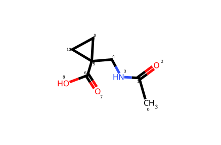 CC(=O)NCC1(C(=O)O)CC1